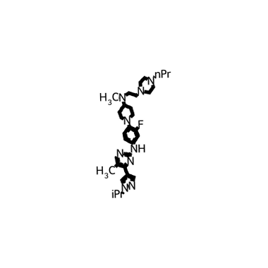 CCCN1CCN(CCN(C)C2CCN(c3ccc(Nc4ncc(C)c(-c5cnn(C(C)C)c5)n4)cc3F)CC2)CC1